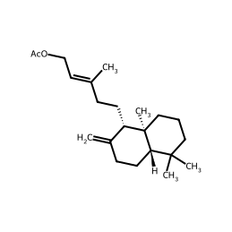 C=C1CC[C@H]2C(C)(C)CCC[C@]2(C)[C@H]1CC/C(C)=C/COC(C)=O